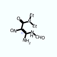 CCN(CC)C(=O)/C(N=O)=C(/N)NC=O